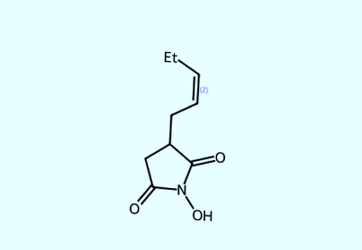 CC/C=C\CC1CC(=O)N(O)C1=O